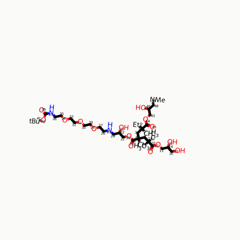 CCC(C)(CC(C)(CC(C)(C)C(=O)OCC(O)CO)C(=O)OCC(O)CNCCOCCOCCOCCNC(=O)OC(C)(C)C)C(=O)OCC(O)CNC